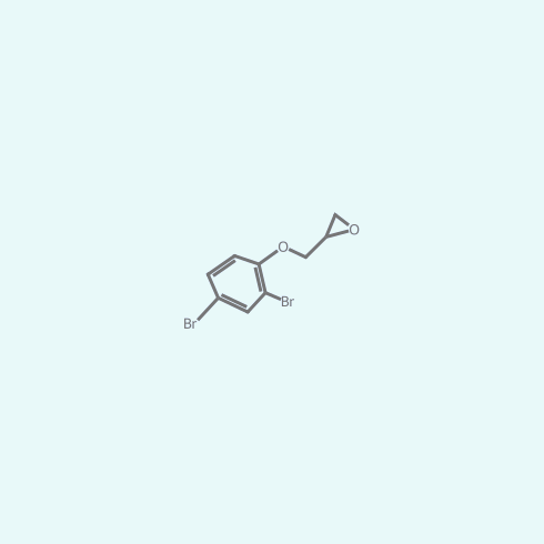 Brc1ccc(OCC2CO2)c(Br)c1